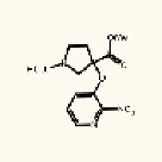 COC(=O)C1(Oc2cccnc2[N+](=O)[O-])CCN(C(=O)O)C1